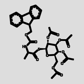 CC(=O)OC[C@H]1O[C@@H](SC(=O)C(C)NC(=O)OCC2c3ccccc3-c3ccccc32)[C@H](OC(C)=O)[C@@H](OC(C)=O)[C@@H]1OC(C)=O